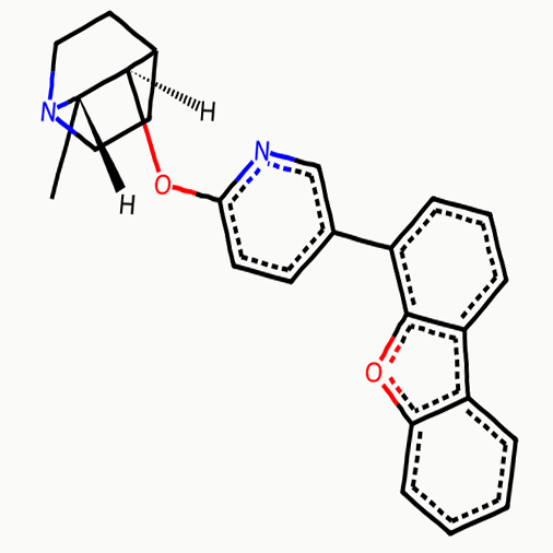 C[C@H]1[C@H](Oc2ccc(-c3cccc4c3oc3ccccc34)cn2)C2CCN1CC2